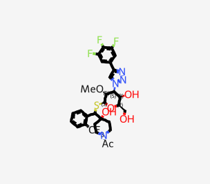 CO[C@@H]1[C@@H](n2cc(-c3cc(F)c(F)c(F)c3)nn2)[C@@H](O)[C@@H](CO)O[C@H]1SC(c1ccccc1C(F)(F)F)C1(O)CCN(C(C)=O)CC1